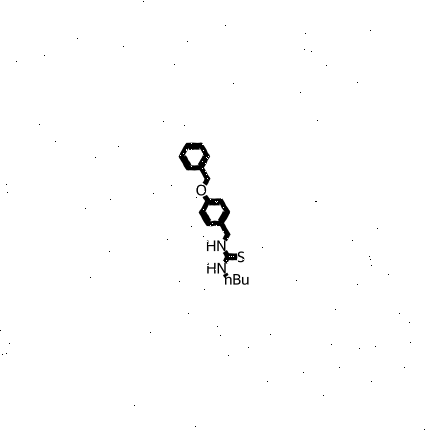 CCCCNC(=S)NCc1ccc(OCc2ccccc2)cc1